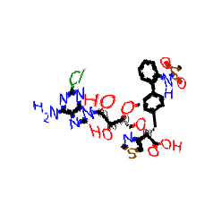 CO[C@H](CO[C@@](Cc1ccc(-c2ccccc2NS(C)(=O)=O)cc1)(C(=O)O)c1cscn1)[C@@H](O)[C@@H](O)n1cnc2c(N)nc(Cl)nc21